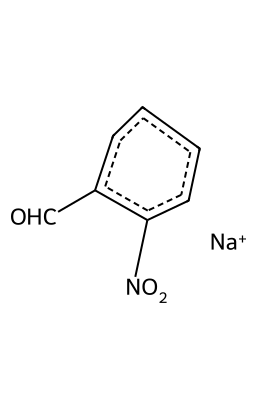 O=Cc1ccccc1[N+](=O)[O-].[Na+]